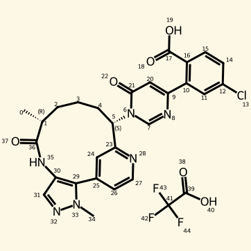 C[C@@H]1CCC[C@H](n2cnc(-c3cc(Cl)ccc3C(=O)O)cc2=O)c2cc(ccn2)-c2c(cnn2C)NC1=O.O=C(O)C(F)(F)F